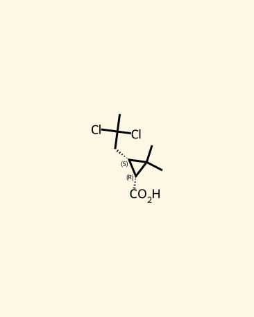 CC(Cl)(Cl)C[C@H]1[C@@H](C(=O)O)C1(C)C